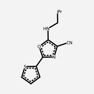 CC(C)CNc1oc(-c2cccs2)nc1C#N